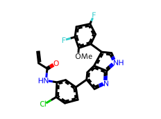 C=CC(=O)Nc1cc(-c2cnc3[nH]cc(-c4cc(F)cc(F)c4OC)c3c2)ccc1Cl